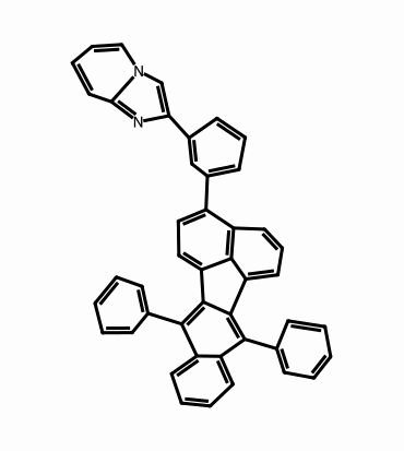 c1ccc(-c2c3c(c(-c4ccccc4)c4ccccc24)-c2ccc(-c4cccc(-c5cn6ccccc6n5)c4)c4cccc-3c24)cc1